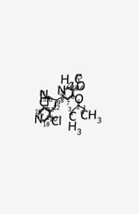 CCC(CC)Oc1cc(/C(C#N)=C/c2c(Cl)cncc2Cl)ncc1OC